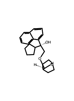 O[C@@](CO[C@H]1CN2CCC1CC2)(c1cccc2ccccc12)C1CCCC1